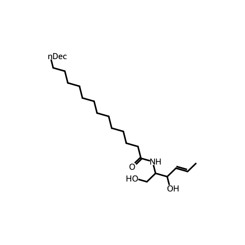 C/C=C/C(O)C(CO)NC(=O)CCCCCCCCCCCCCCCCCCCCCC